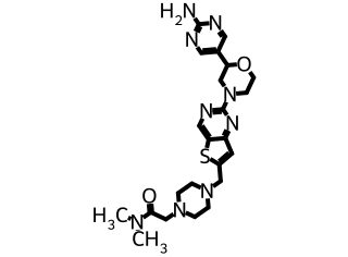 CN(C)C(=O)CN1CCN(Cc2cc3nc(N4CCOC(c5cnc(N)nc5)C4)ncc3s2)CC1